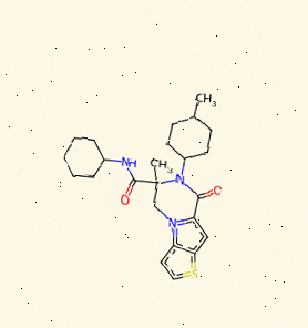 CC1CCC(N2C(=O)c3cc4sccc4n3CC2(C)C(=O)NC2CCCCC2)CC1